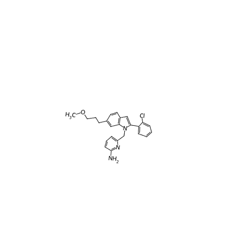 COCCCc1ccc2cc(-c3ccccc3Cl)n(Cc3cccc(N)n3)c2c1